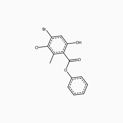 Cc1c(Cl)c(Br)cc(O)c1C(=O)Oc1ccccc1